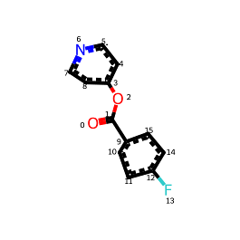 O=C(Oc1c[c]ncc1)c1ccc(F)cc1